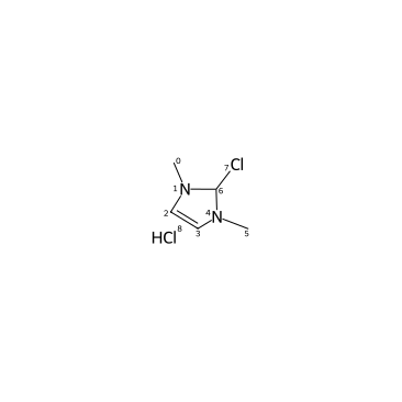 CN1C=CN(C)C1Cl.Cl